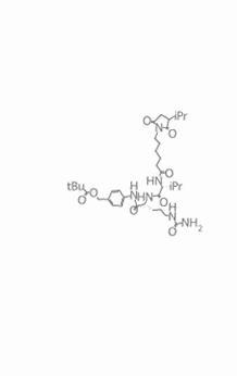 CC(C)C1CC(=O)N(CCCCCC(=O)N[C@@H](C(=O)N[C@H](CCCNC(N)=O)C(=O)Nc2ccc(COC(=O)C(C)(C)C)cc2)C(C)C)C1=O